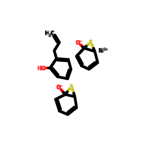 C=CCc1ccccc1O.[Ni+2].[O-]C12C=CC=CC1S2.[O-]C12C=CC=CC1S2